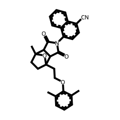 Cc1cccc(C)c1OCCC12CCC(C)(O1)C1C(=O)N(c3ccc(C#N)c4ccccc34)C(=O)C12